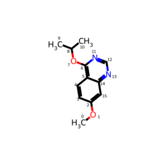 COc1ccc2c(OC(C)C)ncnc2c1